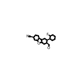 N#Cc1ccc2c(c1)oc1cc(C=O)c(-c3ccccc3F)cc12